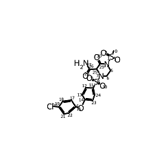 CS(=O)(=O)N1CCN(S(=O)(=O)c2ccc(Oc3ccc(Cl)cc3)cc2)C(C(N)=O)C1=O